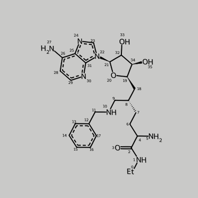 CCNC(=O)C(N)CC[C@H](CNCc1ccccc1)C[C@H]1O[C@@H](n2cnc3c(N)ccnc32)C(O)[C@H]1O